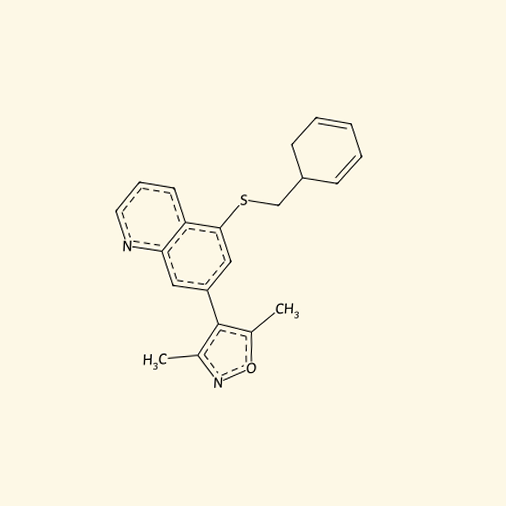 Cc1noc(C)c1-c1cc(SCC2C=CC=CC2)c2cccnc2c1